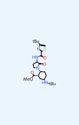 COC(=O)[C@@H]1C[C@H](NC(C)(C)C)CC[C@@H]1N1CCC(NC(=O)c2nc(C(C)(C)C)cs2)C1=O